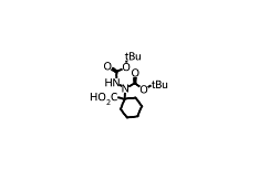 CC(C)(C)OC(=O)NN(C(=O)OC(C)(C)C)C1(C(=O)O)CCCCC1